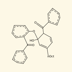 CCCCCCCCC1=CC(O)(Oc2ccccc2C(=O)c2ccccc2)C(C(=O)c2ccccc2)C=C1